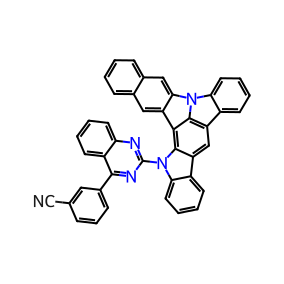 N#Cc1cccc(-c2nc(-n3c4ccccc4c4cc5c6ccccc6n6c7cc8ccccc8cc7c(c43)c56)nc3ccccc23)c1